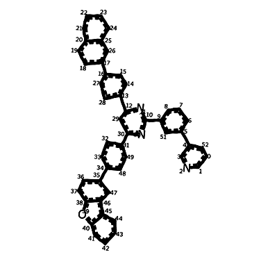 c1cncc(-c2cccc(-c3nc(-c4ccc(-c5ccc6ccccc6c5)cc4)cc(-c4ccc(-c5ccc6oc7ccccc7c6c5)cc4)n3)c2)c1